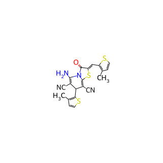 Cc1ccsc1C=c1sc2n(c1=O)C(N)=C(C#N)C(c1sccc1C)C=2C#N